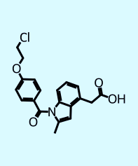 Cc1cc2c(CC(=O)O)cccc2n1C(=O)c1ccc(OCCCl)cc1